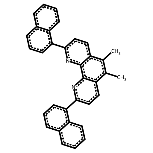 Cc1c(C)c2ccc(-c3cccc4ccccc34)nc2c2nc(-c3cccc4ccccc34)ccc12